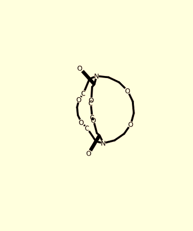 O=C1COCCOCC(=O)N2CCOCCOCCN1CCOCCOCC2